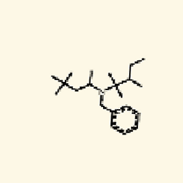 CCC(C)C(C)(C)N(Cc1ccccc1)C(C)CC(C)(C)C